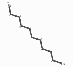 BrCCCCCCCCCI